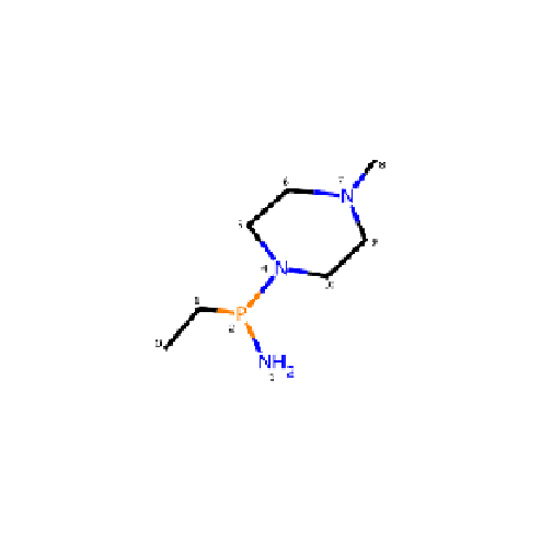 CCP(N)N1CCN(C)CC1